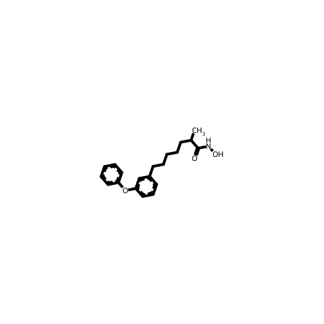 CC(CCCCCc1cccc(Oc2ccccc2)c1)C(=O)NO